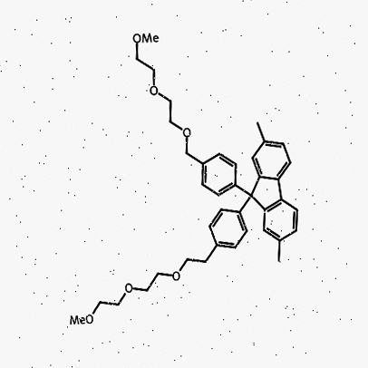 COCCOCCOCCc1ccc(C2(c3ccc(COCCOCCOC)cc3)c3cc(C)ccc3-c3ccc(C)cc32)cc1